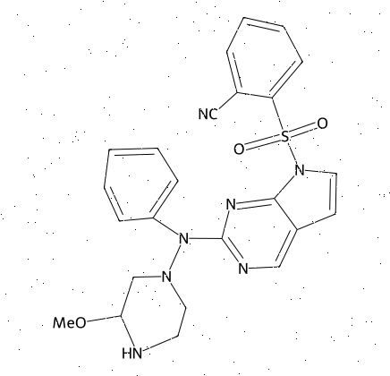 COC1CN(N(c2ccccc2)c2ncc3ccn(S(=O)(=O)c4ccccc4C#N)c3n2)CCN1